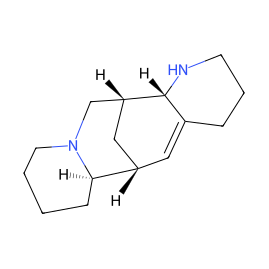 C1=C2CCCN[C@H]2[C@@H]2C[C@H]1[C@H]1CCCCN1C2